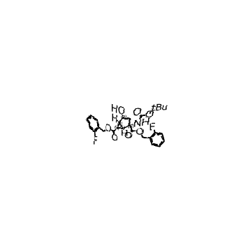 CC(C)(C)OC(=O)N[C@@]1(C(=O)OCc2ccccc2F)C[C@@H](O)[C@H]2[C@H](C(=O)OCc3ccccc3F)[C@H]21